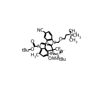 COc1cc(C)c2c(ccn2C(=O)OC(C)(C)C)c1C(N[S+]([O-])C(C)(C)C)(c1nc2cc(C#N)ccc2n1COCC[Si](C)(C)C)C(F)(F)F